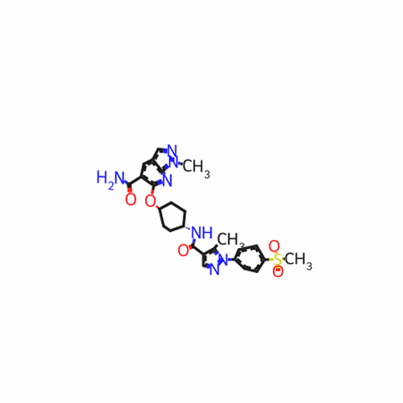 Cc1c(C(=O)N[C@H]2CC[C@H](Oc3nc4c(cnn4C)cc3C(N)=O)CC2)cnn1-c1ccc(S(C)(=O)=O)cc1